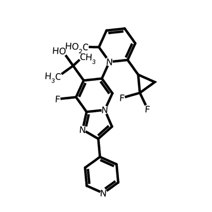 CC(C)(O)c1c(N2C(C3CC3(F)F)=CC=CC2C(=O)O)cn2cc(-c3ccncc3)nc2c1F